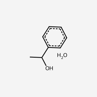 CC(O)c1ccccc1.O